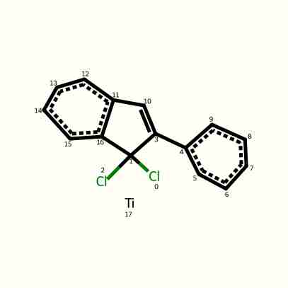 ClC1(Cl)C(c2ccccc2)=Cc2ccccc21.[Ti]